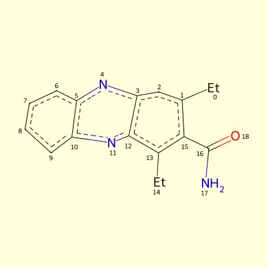 CCc1cc2nc3ccccc3nc2c(CC)c1C(N)=O